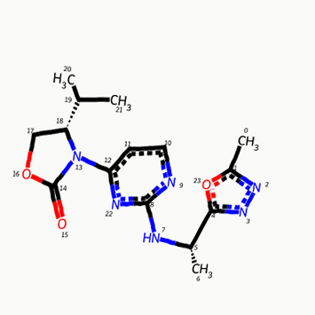 Cc1nnc([C@H](C)Nc2nccc(N3C(=O)OC[C@@H]3C(C)C)n2)o1